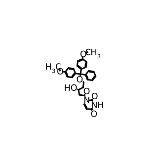 COc1ccc(C(OCC2O[C@@H](n3ccc(=O)[nH]c3=O)C[C@H]2O)(c2ccccc2)c2ccc(OC)cc2)cc1